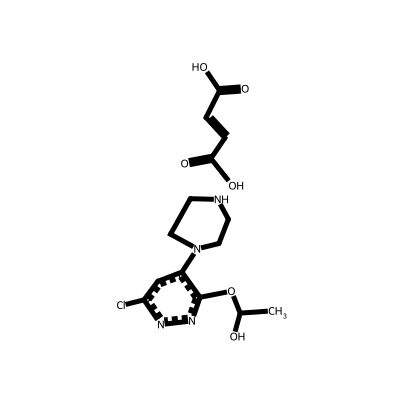 CC(O)Oc1nnc(Cl)cc1N1CCNCC1.O=C(O)C=CC(=O)O